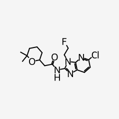 CC1(C)CCCC(CC(=O)Nc2nc3ccc(Cl)nc3n2CCF)O1